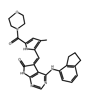 Cc1cc(C(=O)N2CCOCC2)[nH]c1C=C1C(=O)Nc2ncnc(Nc3cccc4c3CCC4)c21